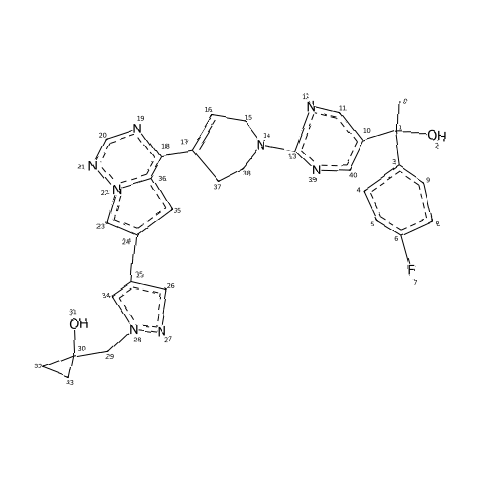 CC(O)(c1ccc(F)cc1)c1cnc(N2CC=C(c3ncnn4cc(-c5cnn(CC6(O)CC6)c5)cc34)CC2)nc1